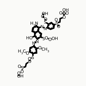 COc1cc(SOOCCS(=O)OOO)c(OC)cc1N=Nc1c(SOOO)cc2c(N=Nc3ccc(S(=O)(=O)CCOS(=O)(=O)O)cc3SOOO)c(N)ccc2c1O